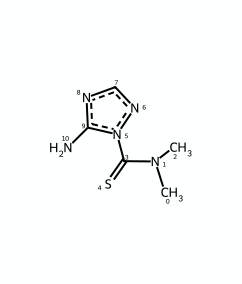 CN(C)C(=S)n1ncnc1N